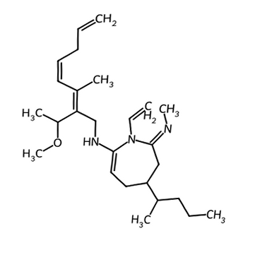 C=CC/C=C\C(C)=C(\CNC1=CCC(C(C)CCC)C/C(=N/C)N1C=C)C(C)OC